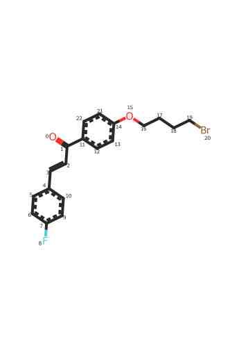 O=C(C=Cc1ccc(F)cc1)c1ccc(OCCCCBr)cc1